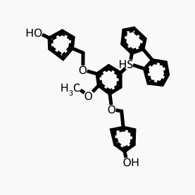 COc1c(OCc2ccc(O)cc2)cc([SH]2c3ccccc3-c3ccccc32)cc1OCc1ccc(O)cc1